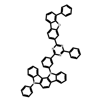 c1ccc(-c2nc(-c3cccc(-n4c5ccccc5c5ccc6c(c7ccccc7n6-c6ccccc6)c54)c3)nc(-c3ccc4c(c3)oc3c(-c5ccccc5)cccc34)n2)cc1